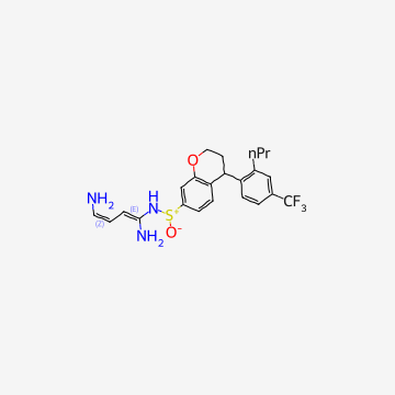 CCCc1cc(C(F)(F)F)ccc1C1CCOc2cc([S+]([O-])N/C(N)=C/C=C\N)ccc21